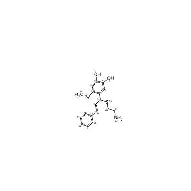 COc1cc(O)c(O)cc1C(/C=C/c1ccccc1)SCCN